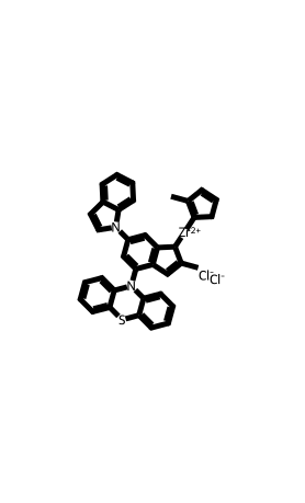 CC1=Cc2c(cc(-n3ccc4ccccc43)cc2N2c3ccccc3Sc3ccccc32)[CH]1[Zr+2][C]1=C(C)C=CC1.[Cl-].[Cl-]